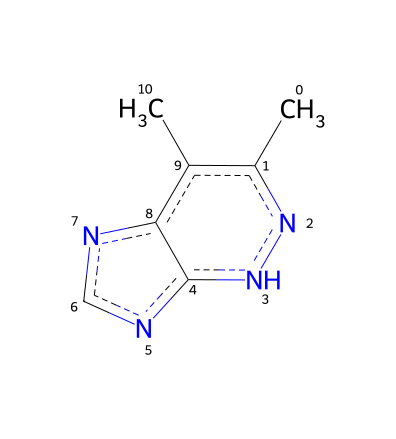 Cc1n[nH]c2ncnc-2c1C